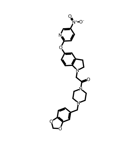 O=C(CN1CCc2cc(Oc3ccc([N+](=O)[O-])cn3)ccc21)N1CCN(Cc2ccc3c(c2)OCO3)CC1